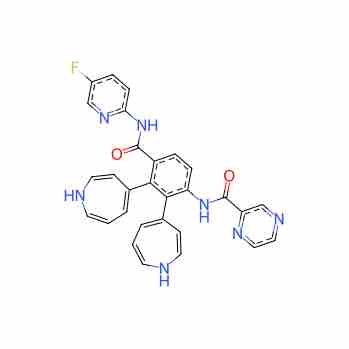 O=C(Nc1ccc(C(=O)Nc2ccc(F)cn2)c(C2=CC=CNC=C2)c1C1=CC=CNC=C1)c1cnccn1